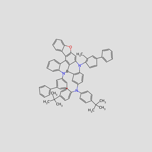 Cc1cc(-c2ccccc2)ccc1N1c2ccc(N(c3ccc(C(C)(C)C)cc3)c3ccc(C(C)(C)C)cc3)cc2B2c3c1cc1oc4ccccc4c1c3-c1ccccc1N2c1cccc(-c2ccccc2)c1